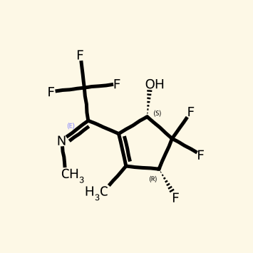 C/N=C(\C1=C(C)[C@@H](F)C(F)(F)[C@H]1O)C(F)(F)F